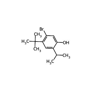 CC(C)c1cc(C(C)(C)C)c(Br)cc1O